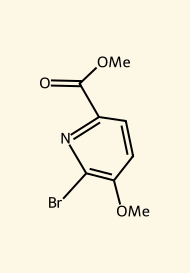 COC(=O)c1ccc(OC)c(Br)n1